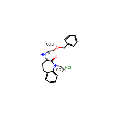 Cl.O=C(O)CN1C(=O)[C@@H](N[C@@H](COCc2ccccc2)C(=O)O)CCc2ccccc21